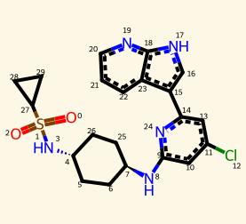 O=S(=O)(N[C@H]1CC[C@H](Nc2cc(Cl)cc(-c3c[nH]c4ncccc34)n2)CC1)C1CC1